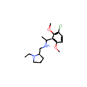 CCN1CCCC1CNC(C)c1c(OC)ccc(Cl)c1OC